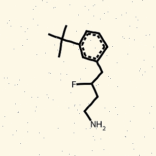 CC(C)(C)c1cccc(CC(F)CCN)c1